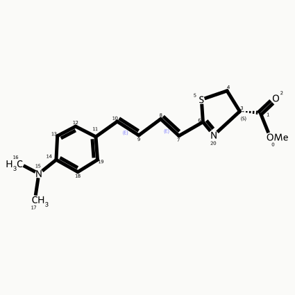 COC(=O)[C@H]1CSC(/C=C/C=C/c2ccc(N(C)C)cc2)=N1